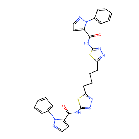 O=C(Nc1nnc(CCCCc2nnc(NC(=O)c3ccnn3-c3ccccc3)s2)s1)c1ccnn1-c1ccccc1